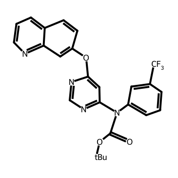 CC(C)(C)OC(=O)N(c1cccc(C(F)(F)F)c1)c1cc(Oc2ccc3cccnc3c2)ncn1